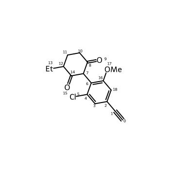 C#Cc1cc(Cl)c(C2C(=O)CCC(CC)C2=O)c(OC)c1